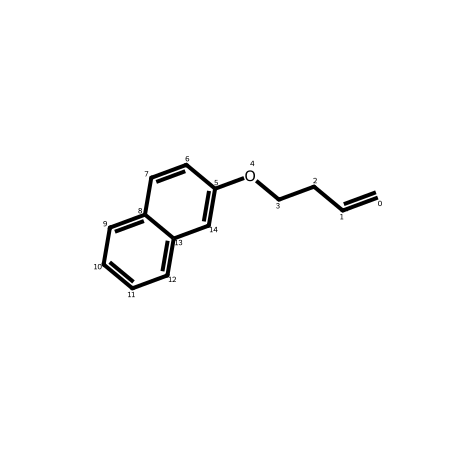 C=[C]CCOc1ccc2ccccc2c1